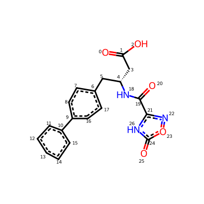 O=C(O)C[C@@H](Cc1ccc(-c2ccccc2)cc1)NC(=O)c1noc(=O)[nH]1